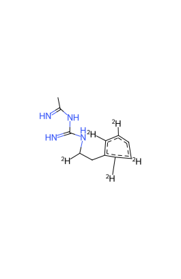 [2H]c1cc([2H])c([2H])c(CC([2H])NC(=N)NC(C)=N)c1[2H]